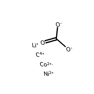 O=C([O-])[O-].[C+4].[Co+2].[Li+].[Ni+2]